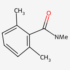 CNC(=O)c1c(C)cccc1C